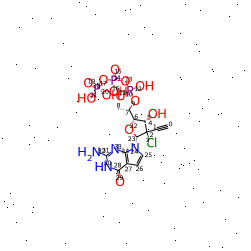 C#CC1(Cl)[C@@H](O)[C@@H]([C@H](C)OP(=O)(O)OP(=O)(O)OP(=O)(O)O)O[C@H]1n1ccc2c(=O)[nH]c(N)nc21